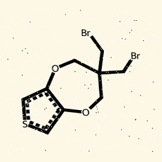 BrCC1(CBr)COc2cscc2OC1